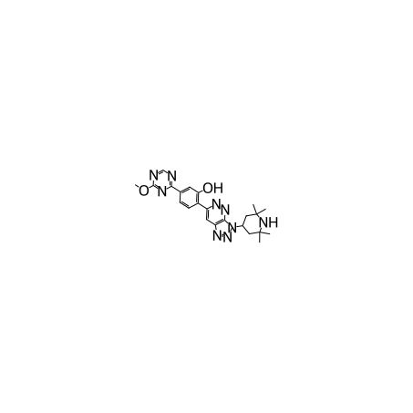 COc1ncnc(-c2ccc(-c3cc4nnn(C5CC(C)(C)NC(C)(C)C5)c4nn3)c(O)c2)n1